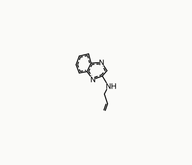 C=CCNc1cnc2ccccc2n1